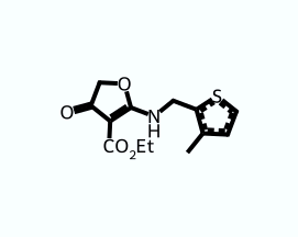 CCOC(=O)C1=C(NCc2sccc2C)OCC1=O